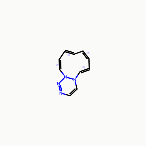 C1=CN2/C=C/C=C\C=C\C=C/N2N=N1